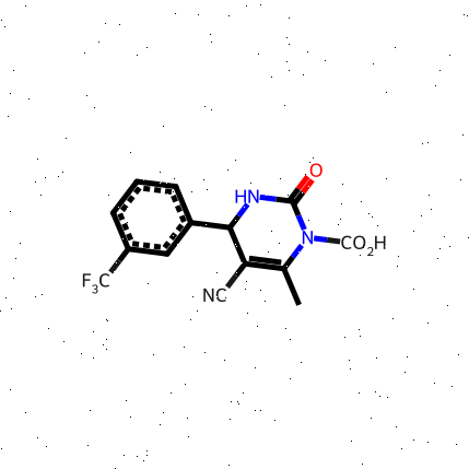 CC1=C(C#N)C(c2cccc(C(F)(F)F)c2)NC(=O)N1C(=O)O